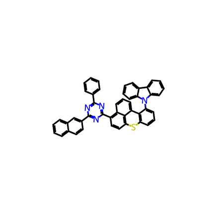 c1ccc(-c2nc(-c3ccc4ccccc4c3)nc(-c3ccc4c5c(cccc35)-c3c(cccc3-n3c5ccccc5c5ccccc53)S4)n2)cc1